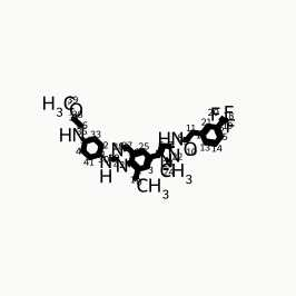 CCc1cc(-c2cc(NC(=O)Cc3cccc(C(F)(F)F)c3)nn2C)cc2cnc(N[C@H]3CC[C@H](NCCOC)CC3)nc12